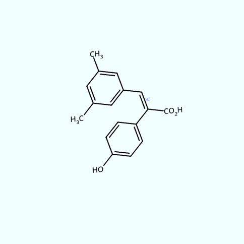 Cc1cc(C)cc(/C=C(/C(=O)O)c2ccc(O)cc2)c1